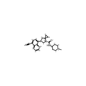 CN1CCC(NC(=O)[C@H]2CN(c3ccc(C#N)c4nccnc34)CC23CC3)CC1